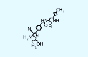 CC(CO)n1nc(-c2ccc(CC(=O)N/C(O)=C/C(=N)C34CC(C)(C3)C4)cc2)c(C#N)c1N